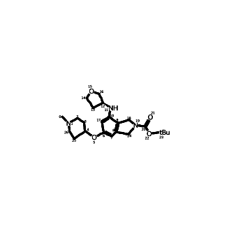 CN1CCC(Oc2cc3c(c(N[C@H]4CCOC4)c2)CN(C(=O)OC(C)(C)C)C3)CC1